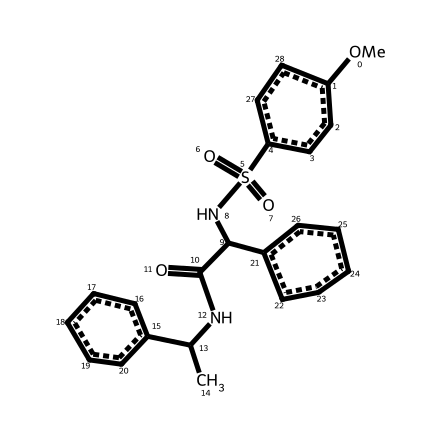 COc1ccc(S(=O)(=O)NC(C(=O)NC(C)c2ccccc2)c2ccccc2)cc1